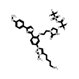 COc1ccc(-c2csc(-c3ccc(-n4cc(CCCCN)[n+](C)n4)cc3OCCN3CCNC3=O)n2)cc1.O=C(OS(=O)(=O)C(F)(F)F)C(F)(F)F